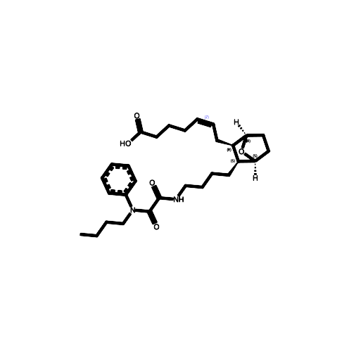 CCCCN(C(=O)C(=O)NCCCC[C@H]1[C@@H](C/C=C\CCCC(=O)O)[C@H]2CC[C@@H]1O2)c1ccccc1